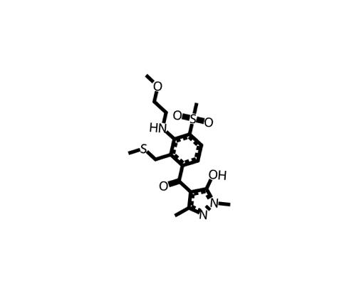 COCCNc1c(S(C)(=O)=O)ccc(C(=O)c2c(C)nn(C)c2O)c1CSC